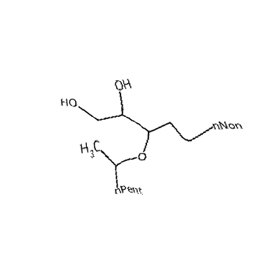 CCCCCCCCCCCC(OC(C)CCCCC)C(O)CO